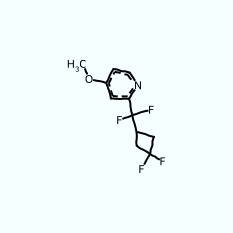 COc1ccnc(C(F)(F)C2CC(F)(F)C2)c1